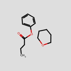 C1CCOCC1.CCCC(=O)Oc1ccccc1